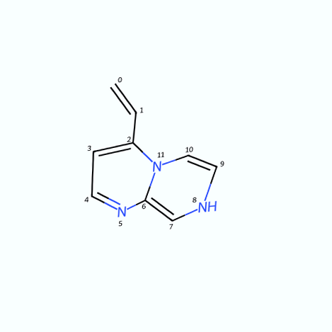 C=CC1=CC=NC2=CNC=CN12